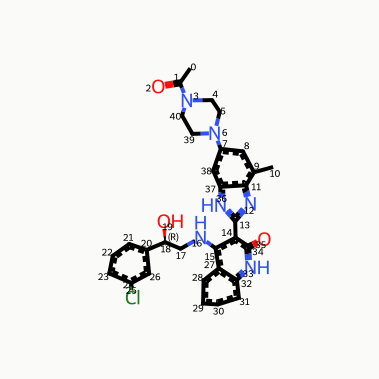 CC(=O)N1CCN(c2cc(C)c3nc(-c4c(NC[C@H](O)c5cccc(Cl)c5)c5ccccc5[nH]c4=O)[nH]c3c2)CC1